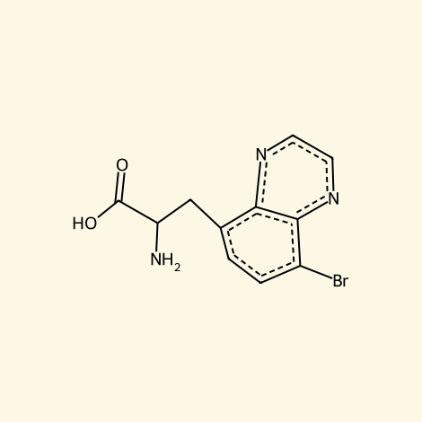 NC(Cc1ccc(Br)c2nccnc12)C(=O)O